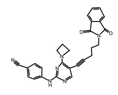 N#Cc1ccc(Nc2ncc(C#CCCCN3C(=O)c4ccccc4C3=O)c(N3CCC3)n2)cc1